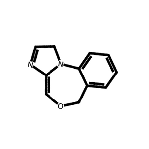 C1=NC2=COCc3ccccc3N2C1